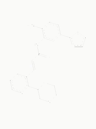 Nc1ccc(-c2cccs2)cc1NC(=O)/C=C/c1cccnc1C1CNCCO1